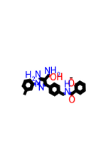 COc1ccccc1C(=O)NCc1ccc(-c2nn(-c3cccc(C)c3)c(N)c2C(N)O)cc1